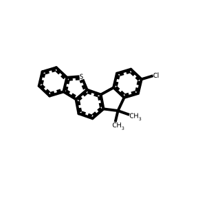 CC1(C)c2cc(Cl)ccc2-c2c1ccc1c2sc2ccccc21